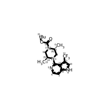 C[C@@H]1CN(c2nccc3[nH]cc(C(F)(F)F)c23)[C@@H](C)CN1C(=O)OC(C)(C)C